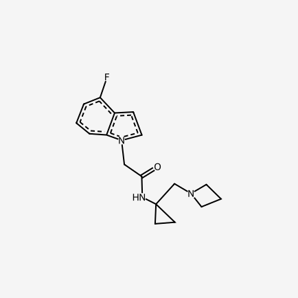 O=C(Cn1ccc2c(F)cccc21)NC1(CN2CCC2)CC1